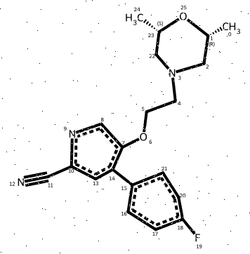 C[C@@H]1CN(CCOc2cnc(C#N)cc2-c2ccc(F)cc2)C[C@H](C)O1